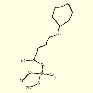 CCO[Si](C)(OCC)OC(C)CCCNC1CCCCC1